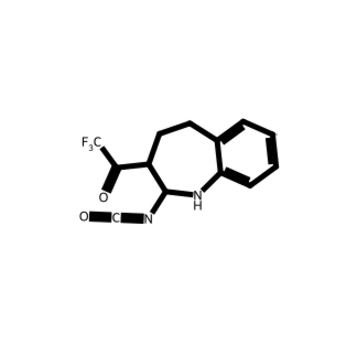 O=C=NC1Nc2cc[c]cc2CCC1C(=O)C(F)(F)F